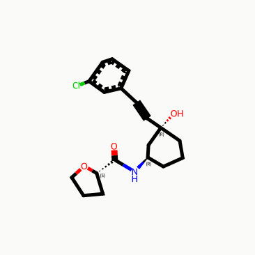 O=C(N[C@@H]1CCC[C@](O)(C#Cc2cccc(Cl)c2)C1)[C@@H]1CCCO1